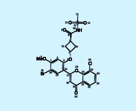 COc1cc(O[C@H]2C[C@H](C(=O)NS(C)(=O)=O)C2)c(-c2cc(=O)c3cccc(Cl)c3o2)cc1Br